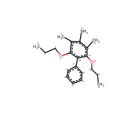 CCCOc1c(C)c([SiH3])c(C)c(OCCC)c1-c1ccccc1